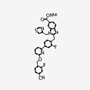 COC(=O)c1ccc2nc(Cc3ccc(-c4cccc(OCc5ccc(C#N)cc5F)n4)cc3F)n(Cc3cscn3)c2c1